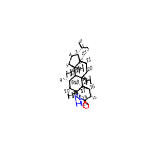 CC(C)[C@H]1CC[C@H]2[C@@H]3[C@@H](C)C[C@H]4NC(=O)CC[C@]4(C)[C@H]3CC[C@]12C